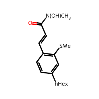 CCCCCCc1ccc(C=CC(=O)N(C)O)c(SC)c1